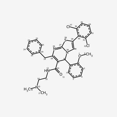 COc1ccccc1C1C(C(=O)NCCN(C)C)=C(Cc2ccccc2)N=C2SC(c3c(Cl)cccc3Cl)=CN21